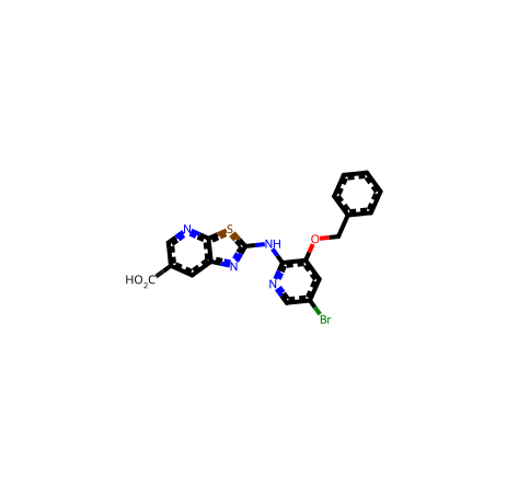 O=C(O)c1cnc2sc(Nc3ncc(Br)cc3OCc3ccccc3)nc2c1